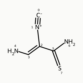 [C-]#[N+]/C(=C\N)C(N)=S